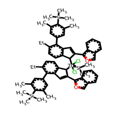 CCc1ccc2c(c1-c1cc(C)c([Si](C)(C)C)c(C)c1)C=C(c1occ3ccccc13)[CH]2[Zr]([Cl])([Cl])([CH]1C(c2occ3ccccc23)=Cc2c1ccc(CC)c2-c1cc(C)c([Si](C)(C)C)c(C)c1)=[Si](C)C